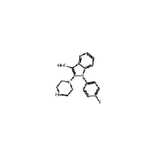 O=Cc1c(N2CCNCC2)n(-c2ccc(F)cc2)c2ccccc12